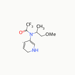 COCC(C)N(C(=O)C(F)(F)F)C1=CNCC=[C]1